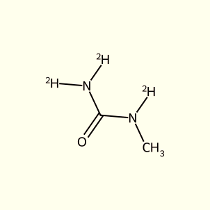 [2H]N([2H])C(=O)N([2H])C